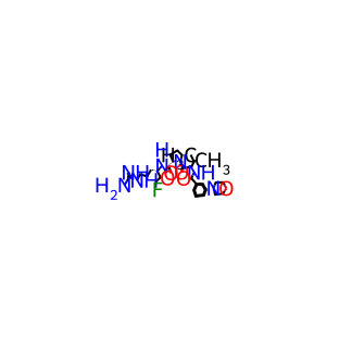 CC(C)[C@H](NC(=O)c1cccc(N2CCOCC2)c1)C(=O)N1CCC[C@H]1C(=O)N[C@@H](CCCNC(=N)N)C(=O)CF